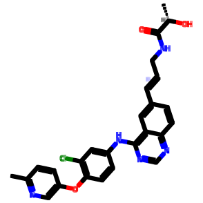 Cc1ccc(Oc2ccc(Nc3ncnc4ccc(/C=C/CNC(=O)[C@H](C)O)cc34)cc2Cl)cn1